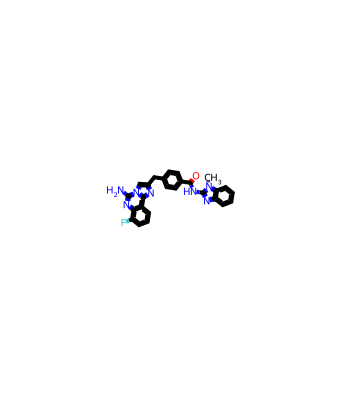 Cn1c(NC(=O)c2ccc(Cc3cn4c(N)nc5c(F)cccc5c4n3)cc2)nc2ccccc21